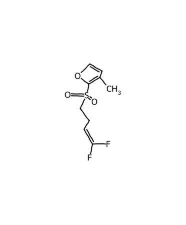 Cc1ccoc1S(=O)(=O)CCC=C(F)F